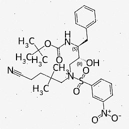 CC(C)(CCC#N)CN(C[C@@H](O)[C@H](Cc1ccccc1)NC(=O)OC(C)(C)C)S(=O)(=O)c1cccc([N+](=O)[O-])c1